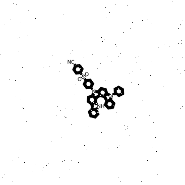 N#Cc1ccc(S(=O)(=O)c2ccc(-n3c4ccc5c6ccccc6[nH]c5c4c4c5c6ccccc6n(-c6ccccc6)c5ccc43)cc2)cc1